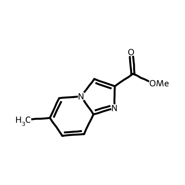 COC(=O)c1cn2cc(C)ccc2n1